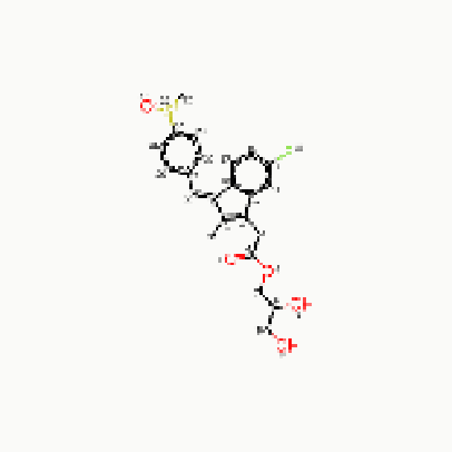 CC1=C(CC(=O)OCC(O)CO)c2cc(F)ccc2/C1=C\c1ccc([S+](C)[O-])cc1